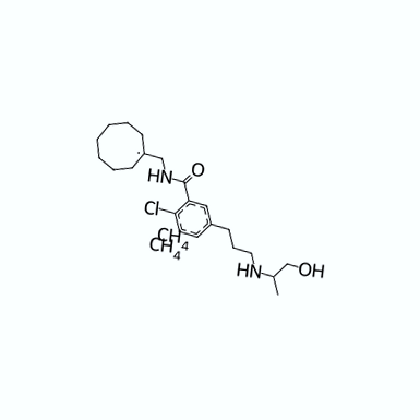 C.C.CC(CO)NCCCc1ccc(Cl)c(C(=O)NC[C]2CCCCCCC2)c1